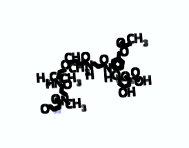 CCC(=O)OCc1ccc(O[C@H]2CC(O)C[C@@H](C(=O)O)O2)c(NC(=O)CCNC(=O)CCC(C)(C)OCCC(C)(C)NC(=O)CCN(C)C(=O)/C=C\C=O)c1